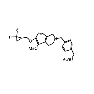 COc1c(OCC2CC2(F)F)ccc2c1CCN(Cc1ccc(CNC(C)=O)cc1)C2